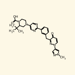 Cn1cc(-n2ccc(=O)c(Cc3cccc(-c4ncc(N5CCN(C(=O)O)C(C(C)(C)C)C5)cn4)c3)n2)cn1